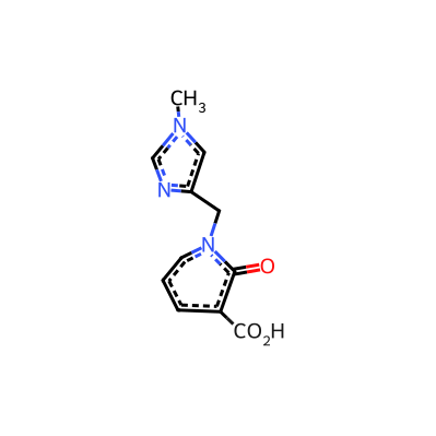 Cn1cnc(Cn2cccc(C(=O)O)c2=O)c1